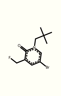 CC(C)(C)Cn1cc(Br)cc(CF)c1=O